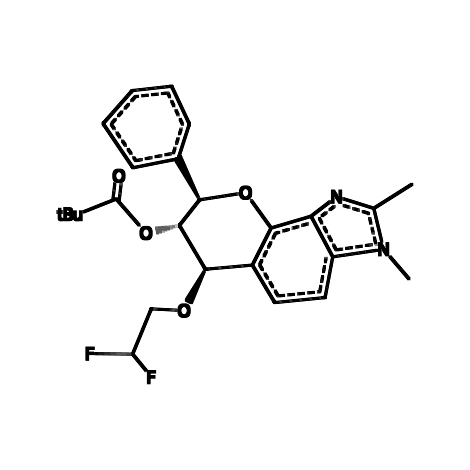 Cc1nc2c3c(ccc2n1C)[C@@H](OCC(F)F)[C@H](OC(=O)C(C)(C)C)[C@@H](c1ccccc1)O3